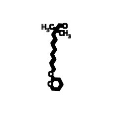 CC(C)(C=O)CC=CCCC=CCOC1CCCCO1